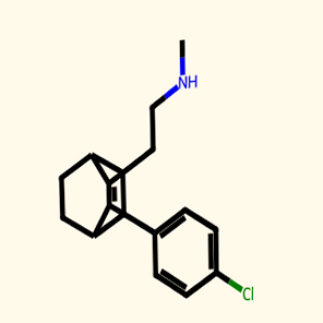 CNCCC1=C(c2ccc(Cl)cc2)C2CCC1CC2